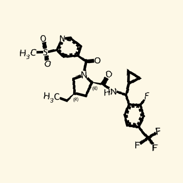 CC[C@@H]1C[C@H](C(=O)NC(c2ccc(C(F)(F)F)cc2F)C2CC2)N(C(=O)c2ccnc(S(C)(=O)=O)c2)C1